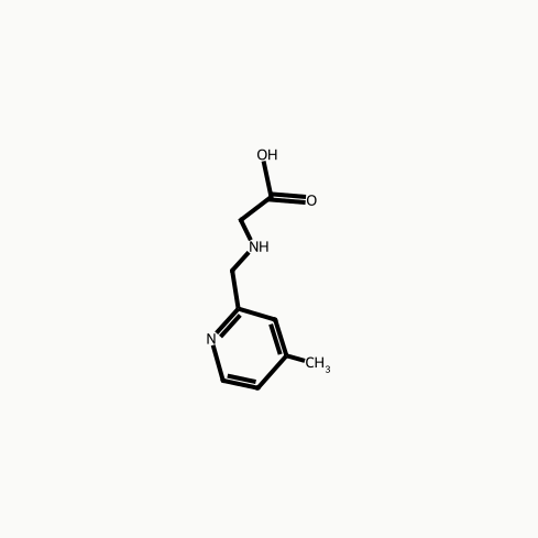 Cc1ccnc(CNCC(=O)O)c1